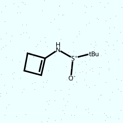 CC(C)(C)[S+]([O-])NC1=CCC1